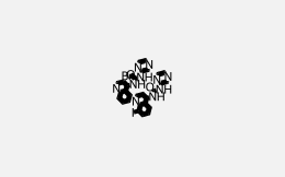 O=C(Nc1cnccn1)Nc1c(Br)cnc2ccccc12.O=C(Nc1cnccn1)Nc1ccnc2c(I)cccc12